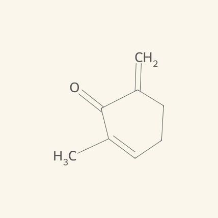 C=C1CCC=C(C)C1=O